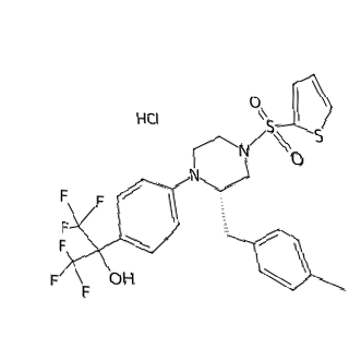 Cc1ccc(C[C@H]2CN(S(=O)(=O)c3cccs3)CCN2c2ccc(C(O)(C(F)(F)F)C(F)(F)F)cc2)cc1.Cl